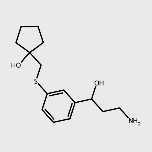 NCCC(O)c1cccc(SCC2(O)CCCC2)c1